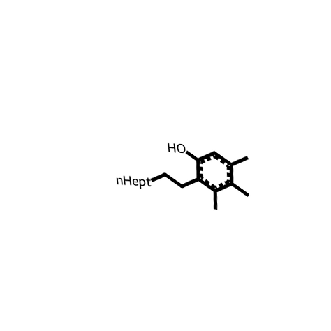 CCCCCCCCCc1c(O)cc(C)c(C)c1C